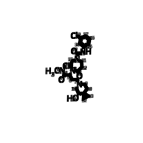 CN(C)C(=O)C(CCN1CCC2(CC2)[C@H](O)C1)N1CCN(C(=O)Nc2cccc(Cl)c2)CCC1=O